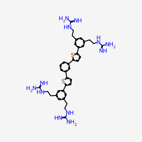 N=C(N)NCCc1cc(CCNC(=N)N)cc(-c2ccc(-c3cccc(-c4ccc(-c5cc(CCNC(=N)N)cc(CCNC(=N)N)c5)s4)c3)s2)c1